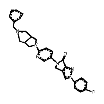 O=C1c2nn(-c3ccc(Cl)cc3)cc2CN1c1ccc(N2CC3CN(Cc4ccccc4)CC3C2)nc1